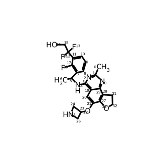 Cc1nc(NC(C)c2cccc(C(F)(F)CO)c2F)c2cc(OC3CNC3)c3c(c2n1)CCO3